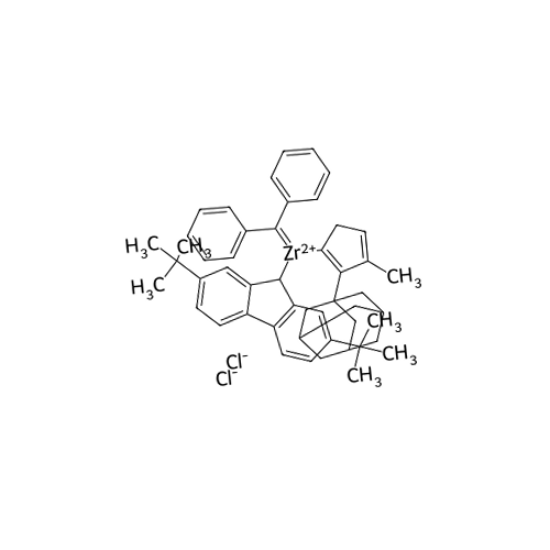 CC1=CC[C]([Zr+2](=[C](c2ccccc2)c2ccccc2)[CH]2c3cc(C(C)(C)C)ccc3-c3ccc(C(C)(C)C)cc32)=C1C12CC3CC(CC(C3)C1)C2.[Cl-].[Cl-]